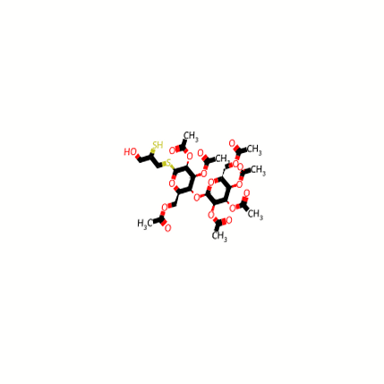 CC(=O)OC[C@H]1O[C@@H](SCC(S)CO)[C@H](OC(C)=O)[C@@H](OC(C)=O)[C@@H]1O[C@H]1O[C@H](COC(C)=O)[C@@H](OC(C)=O)[C@H](OC(C)=O)[C@H]1OC(C)=O